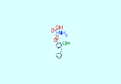 Cl.N[C@@H](COOc1ccc(Cc2ccccc2)cc1)C(=O)O